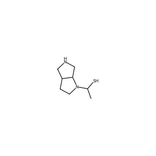 CC(S)N1CCC2CNCC21